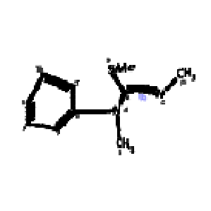 C/N=C(\SC)N(C)c1ccccc1